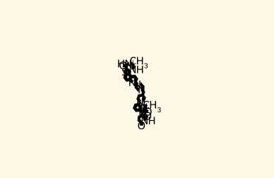 C[C@@H]1CNc2c(sc3ccc4nc(N5CCN(CC6CCN(c7cccc8c7n(C)c(=O)n8C7CCC(=O)NC7=O)CC6)CC5)ccc4c23)C(=O)N1